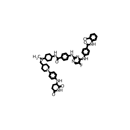 CN(CC1CCN(c2ccc(NC3CCC(=O)NC3=O)cc2)CC1)C1CCC(NC(=O)c2ccc(Nc3ncc(F)c(Nc4ccc(C(=O)Nc5ccccc5Cl)cc4)n3)cc2)CC1